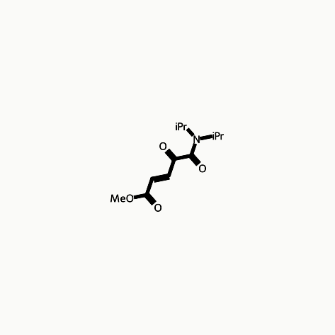 COC(=O)/C=C/C(=O)C(=O)N(C(C)C)C(C)C